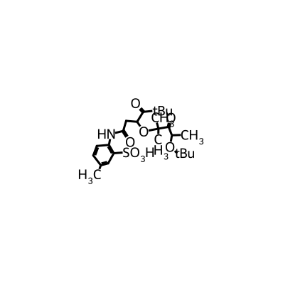 Cc1ccc(NC(=O)CC(OC(C)(C)C(=O)C(C)OC(C)(C)C)C(=O)C(C)(C)C)c(S(=O)(=O)O)c1